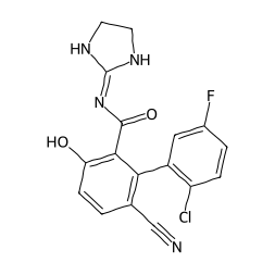 N#Cc1ccc(O)c(C(=O)N=C2NCCN2)c1-c1cc(F)ccc1Cl